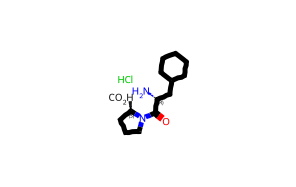 Cl.N[C@H](CC1CCCCC1)C(=O)N1CCC[C@H]1C(=O)O